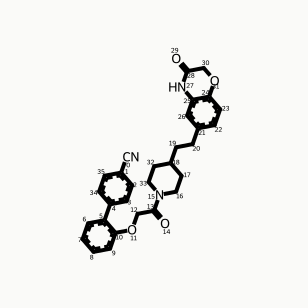 N#Cc1ccc(-c2ccccc2OCC(=O)N2CCC(CCc3ccc4c(c3)NC(=O)CO4)CC2)cc1